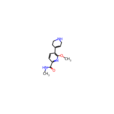 CNC(=O)c1ccc(C2=CCNCC2)c(OC)n1